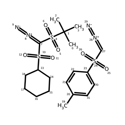 CC(C)(C)S(=O)(=O)C(=[N+]=[N-])S(=O)(=O)C1CCCCC1.Cc1ccc(S(=O)(=O)C=[N+]=[N-])cc1